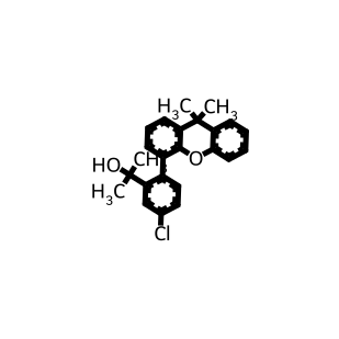 CC(C)(O)c1cc(Cl)ccc1-c1cccc2c1Oc1ccccc1C2(C)C